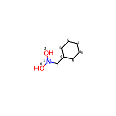 ON(O)CC1CCCCC1